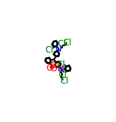 O=S(=O)(O)c1ccccc1C(c1ccc(N(CCCCl)c2c(Cl)cccc2Cl)cc1)c1ccc(N(CCCCl)c2c(Cl)cccc2Cl)cc1